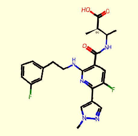 CC(NC(=O)c1cc(F)c(-c2cnn(C)c2)nc1NCCc1cccc(F)c1)[C@@H](C)C(=O)O